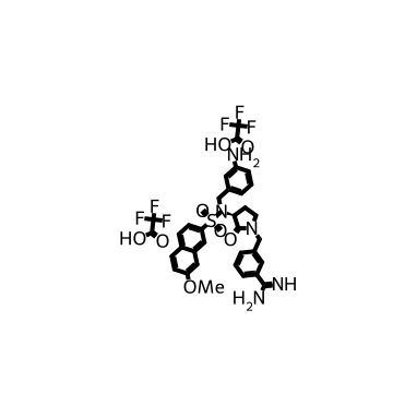 COc1ccc2ccc(S(=O)(=O)N(Cc3cccc(N)c3)[C@H]3CCN(Cc4cccc(C(=N)N)c4)C3=O)cc2c1.O=C(O)C(F)(F)F.O=C(O)C(F)(F)F